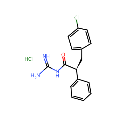 Cl.N=C(N)NC(=O)[C@@H](Cc1ccc(Cl)cc1)c1ccccc1